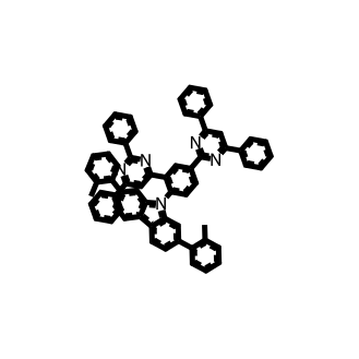 Cc1ccccc1-c1ccc2c3ccc(-c4ccccc4C)cc3n(-c3ccc(-c4nc(-c5ccccc5)cc(-c5ccccc5)n4)cc3-c3cc(-c4ccccc4)nc(-c4ccccc4)n3)c2c1